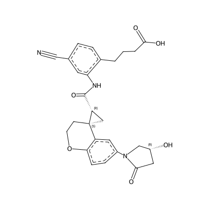 N#Cc1ccc(CCCC(=O)O)c(NC(=O)[C@@H]2C[C@]23CCOc2ccc(N4C[C@H](O)CC4=O)cc23)c1